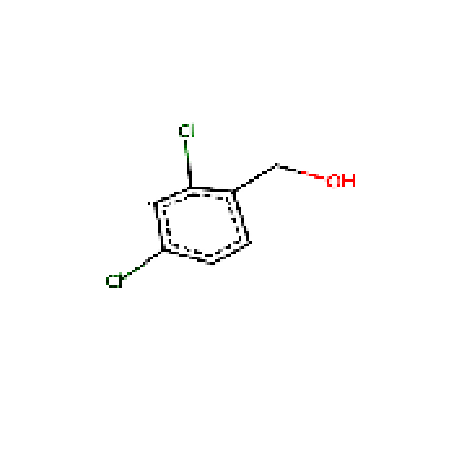 OCc1ccc(Cl)[c]c1Cl